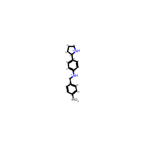 O=[N+]([O-])c1ccc(CNc2ccc(C3CCCN3)cc2)cc1